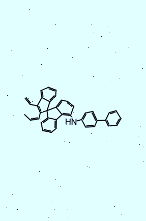 C=CC1=C(/C=C\C)C2(c3ccccc31)c1ccccc1-c1c(Nc3ccc(-c4ccccc4)cc3)cccc12